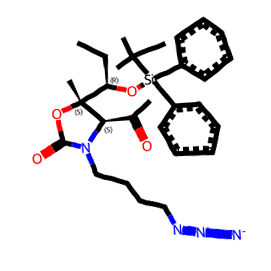 CC[C@@H](O[Si](c1ccccc1)(c1ccccc1)C(C)(C)C)[C@@]1(C)OC(=O)N(CCCCN=[N+]=[N-])[C@@H]1C(C)=O